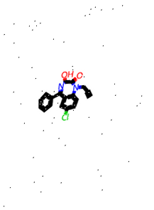 C#CCN1C(=O)C(O)N=C(c2ccccc2)c2cc(Cl)ccc21